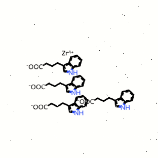 O=C([O-])CCCc1c[nH]c2ccccc12.O=C([O-])CCCc1c[nH]c2ccccc12.O=C([O-])CCCc1c[nH]c2ccccc12.O=C([O-])CCCc1c[nH]c2ccccc12.[Zr+4]